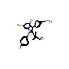 CC(C)(CC#N)c1c(-c2ccc(C(=O)O)cc2)c2c(O)cc(F)cc2n1-c1ccc(F)cc1